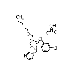 CCCCCOC[C@@H]1CO[C@@](Cn2ccnc2)(c2ccc(Cl)cc2Cl)O1.O=[N+]([O-])O